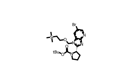 CC(C)(C)OC(=O)N1CCC[C@H]1c1nc2ncc(Br)cc2n1COCC[Si](C)(C)C